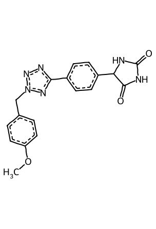 COc1ccc(Cn2nnc(-c3ccc(C4NC(=O)NC4=O)cc3)n2)cc1